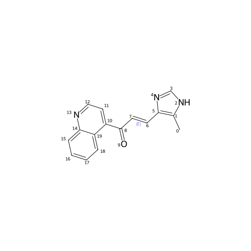 Cc1[nH]cnc1/C=C/C(=O)c1ccnc2ccccc12